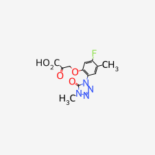 Cc1cc(-n2nnn(C)c2=O)c(OCC(=O)C(=O)O)cc1F